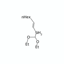 CCCCCCC=C[SiH2]C(OCC)OCC